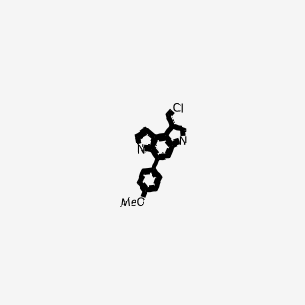 COc1ccc(-c2cc3c(c4c2=NC=C4)C(CCl)CN=3)cc1